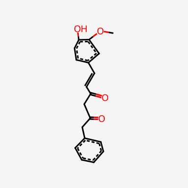 COc1cc(C=CC(=O)CC(=O)Cc2ccccc2)ccc1O